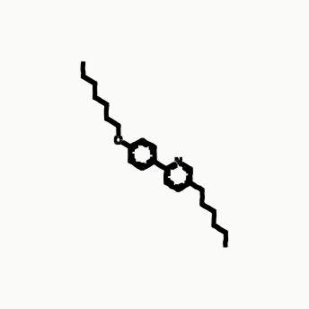 CCCCCCCOc1ccc(-c2ccc(CCCCCC)cn2)cc1